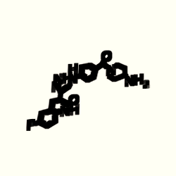 N=N/C(=C\Nc1ccc(C(=O)N2CCC(N)CC2)cc1)c1cc2cc(F)ccc2[nH]c1=O